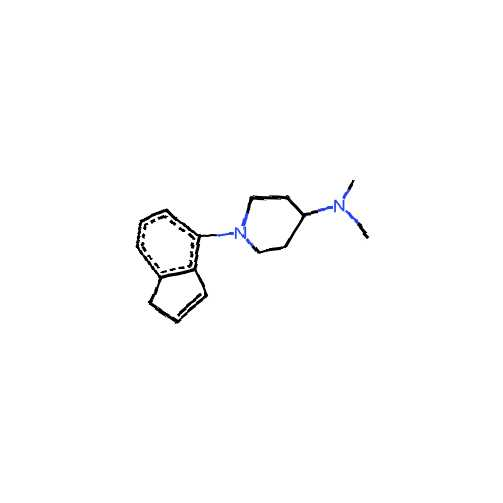 CN(C)C1CCN(c2cccc3c2C=CC3)CC1